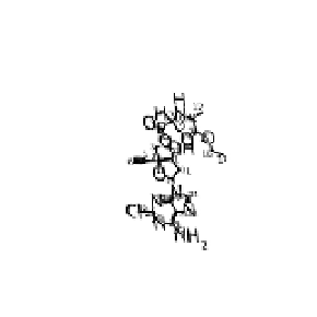 C#C[C@]1(CO[PH](=O)C(C)(C)N[C@@H](C)C(=O)OCC)O[C@@H](n2cnc3c(N)nc(Cl)nc32)C[C@@H]1O